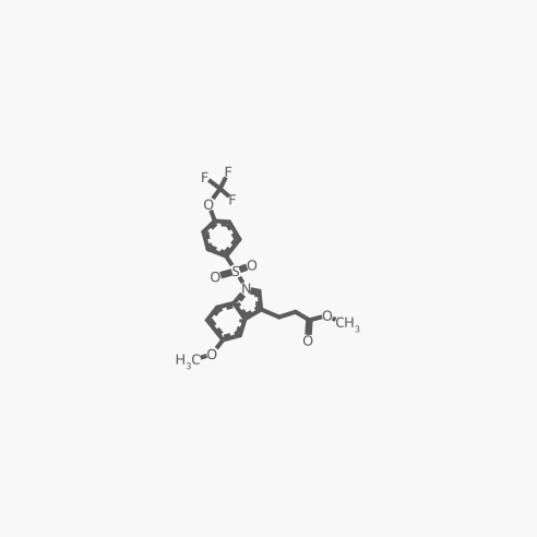 COC(=O)CCc1cn(S(=O)(=O)c2ccc(OC(F)(F)F)cc2)c2ccc(OC)cc12